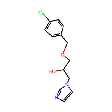 OC(COCc1ccc(Cl)cc1)Cn1ccnc1